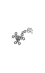 CCC(C)c1ccc(Oc2ccc(N(C3=NC4=NC(N(c5ccccc5)c5ccccc5)=NC5=NC(N(c6ccccc6)c6ccccc6)=NC(=N3)N54)c3ccccc3)cc2)cc1